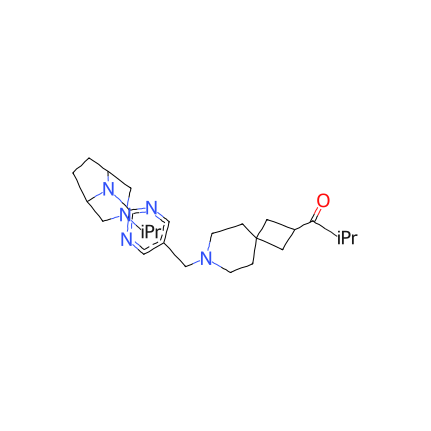 CC(C)C(=O)C1CC2(CCN(Cc3cnc(N4C5CCC4CN(C(C)C)C5)nc3)CC2)C1